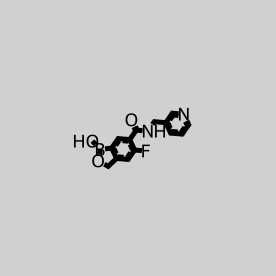 O=C(NCc1cccnc1)c1cc2c(cc1F)COB2O